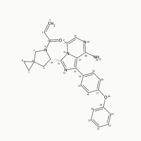 C=CC(=O)N1CC2(CC2)C[C@H]1c1nc(-c2ccc(Oc3ccccc3)cc2)c2c(N)nccn12